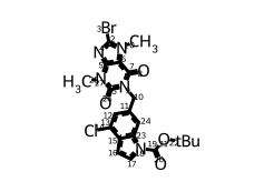 Cn1c(Br)nc2c1c(=O)n(Cc1cc(Cl)c3ccn(C(=O)OC(C)(C)C)c3c1)c(=O)n2C